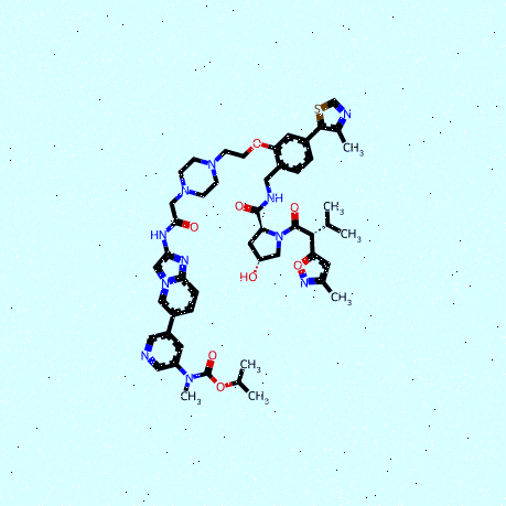 Cc1cc([C@H](C(=O)N2C[C@H](O)C[C@H]2C(=O)NCc2ccc(-c3scnc3C)cc2OCCN2CCN(CC(=O)Nc3cn4cc(-c5cncc(N(C)C(=O)OC(C)C)c5)ccc4n3)CC2)C(C)C)on1